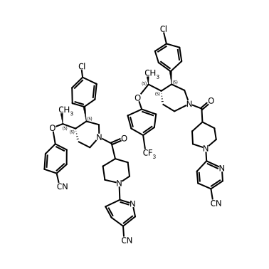 C[C@H](Oc1ccc(C#N)cc1)[C@H]1CCN(C(=O)C2CCN(c3ccc(C#N)cn3)CC2)C[C@@H]1c1ccc(Cl)cc1.C[C@H](Oc1ccc(C(F)(F)F)cc1)[C@H]1CCN(C(=O)C2CCN(c3ccc(C#N)cn3)CC2)C[C@@H]1c1ccc(Cl)cc1